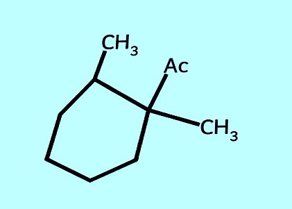 CC(=O)C1(C)CCCCC1C